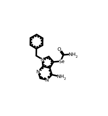 NC(=O)[Se]c1cn(Cc2ccccc2)c2ncnc(N)c12